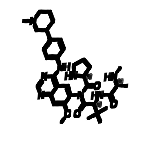 CN[C@@H](C)C(=O)N[C@H](C(=O)N(C(=O)[C@@H]1CCCN1)c1cc2c(Nc3ccc(C4CCCN(C)C4)cc3)ncnc2cc1OC)C(C)(C)C